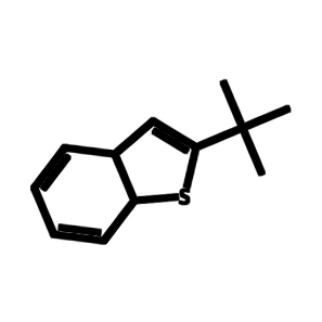 CC(C)(C)C1=CC2C=CC=CC2S1